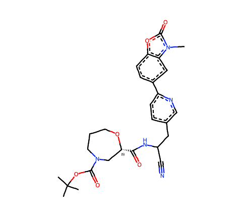 Cn1c(=O)oc2ccc(-c3ccc(CC(C#N)NC(=O)[C@@H]4CN(C(=O)OC(C)(C)C)CCCO4)cn3)cc21